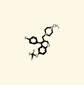 CN1CCN(CC2=C(c3ccc(F)cc3)c3cc(OC(F)(F)F)ccc3OC2)CC1